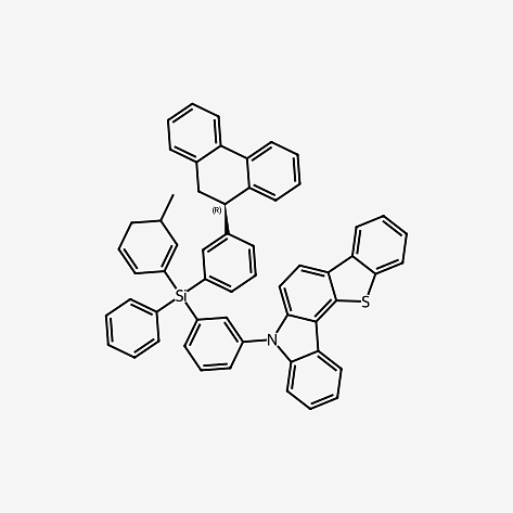 CC1C=C([Si](c2ccccc2)(c2cccc([C@H]3Cc4ccccc4-c4ccccc43)c2)c2cccc(-n3c4ccccc4c4c5sc6ccccc6c5ccc43)c2)C=CC1